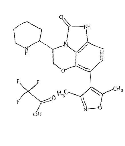 Cc1noc(C)c1-c1ccc2[nH]c(=O)n3c2c1OCC3C1CCCCN1.O=C(O)C(F)(F)F